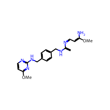 C=C(/N=C\C=C(/N)OC)NCc1ccc(CNc2nccc(OC)n2)cc1